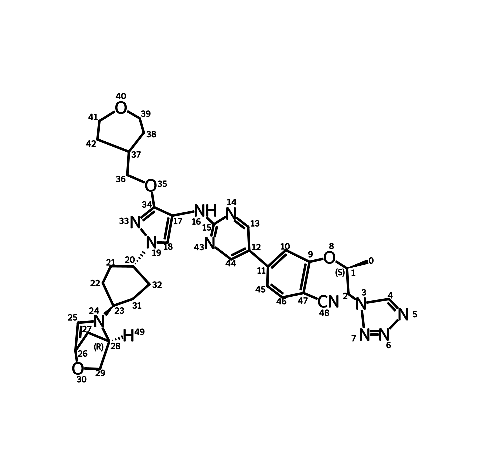 C[C@@H](Cn1cnnn1)Oc1cc(-c2cnc(Nc3cn([C@H]4CC[C@H](N5C=C6C[C@@H]5CO6)CC4)nc3OCC3CCOCC3)nc2)ccc1C#N